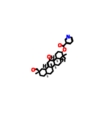 CC1(C)[C@@H](OC(=O)c2cccnc2)CC[C@]2(C)[C@H]3C(=O)C=C4[C@@H]5C[C@@](C)(C=O)CC[C@]5(C)CC[C@@]4(C)[C@]3(C)CC[C@@H]12